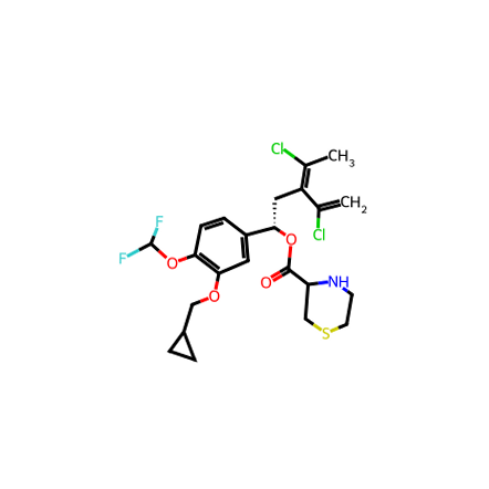 C=C(Cl)/C(C[C@H](OC(=O)C1CSCCN1)c1ccc(OC(F)F)c(OCC2CC2)c1)=C(\C)Cl